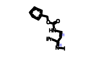 CC(C)C(/C=C\NC(=O)OCc1ccccc1)=N/I